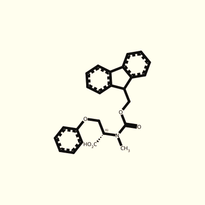 CN(C(=O)OCC1c2ccccc2-c2ccccc21)[C@@H](COc1ccccc1)C(=O)O